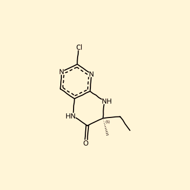 CC[C@]1(C)Nc2nc(Cl)ncc2NC1=O